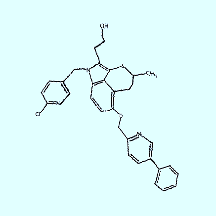 CC1Cc2c(OCc3ccc(-c4ccccc4)cn3)ccc3c2c(c(CCO)n3Cc2ccc(Cl)cc2)S1